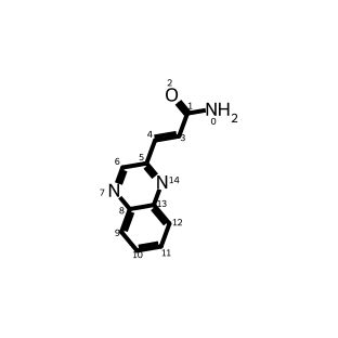 NC(=O)C=Cc1cnc2ccccc2n1